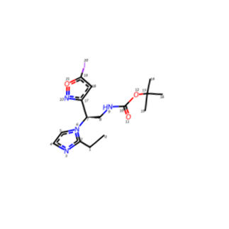 CCc1nccn1[C@H](CNC(=O)OC(C)(C)C)c1cc(I)on1